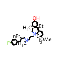 C=C(/C=C\C1=C(CC)[C@]2(C=C[C@H](O)CC2C)CCN(CCCN(C)CC(CCC)Cc2ccc(F)cc2)C1)OC